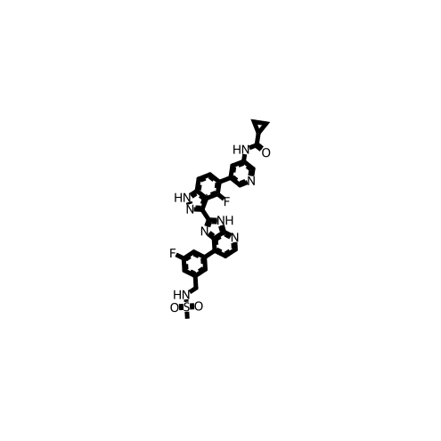 CS(=O)(=O)NCc1cc(F)cc(-c2ccnc3[nH]c(-c4n[nH]c5ccc(-c6cncc(NC(=O)C7CC7)c6)c(F)c45)nc23)c1